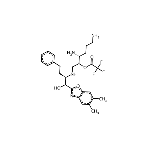 Cc1cc2nc(C(O)[C@@H](CCc3ccccc3)NCC(OC(=O)C(F)(F)F)[C@H](N)CCCN)oc2cc1C